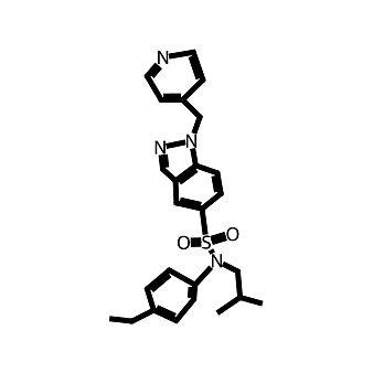 CCc1ccc(N(CC(C)C)S(=O)(=O)c2ccc3c(cnn3Cc3ccncc3)c2)cc1